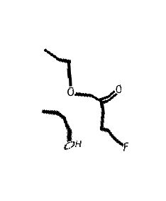 CCO.CCOC(=O)CF